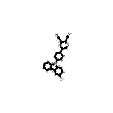 N#Cc1ncc(-c2ccc(-n3c4ccccc4c4cc(O)ccc43)cc2)nc1C#N